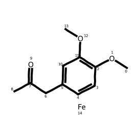 COc1ccc(CC(C)=O)cc1OC.[Fe]